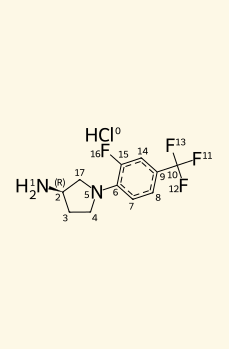 Cl.N[C@@H]1CCN(c2ccc(C(F)(F)F)cc2F)C1